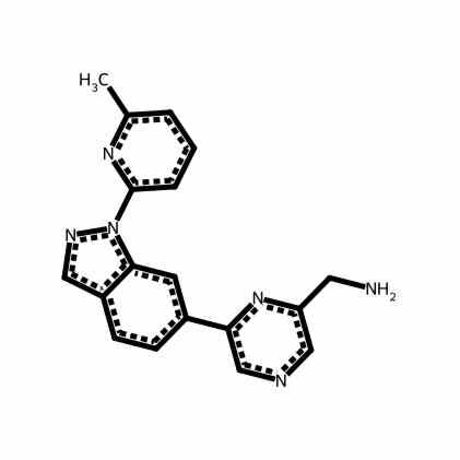 Cc1cccc(-n2ncc3ccc(-c4cncc(CN)n4)cc32)n1